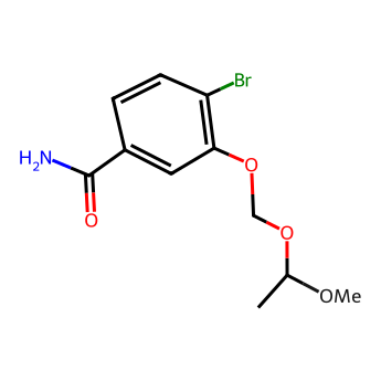 COC(C)OCOc1cc(C(N)=O)ccc1Br